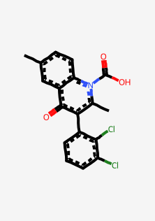 Cc1ccc2c(c1)c(=O)c(-c1cccc(Cl)c1Cl)c(C)n2C(=O)O